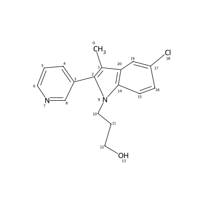 Cc1c(-c2cccnc2)n(CCCO)c2ccc(Cl)cc12